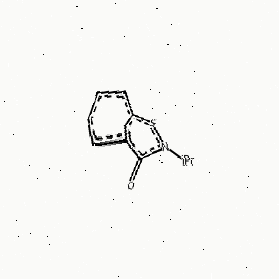 CC(C)n1sc2ccccc2c1=O